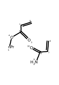 C=CC(=O)OCCC.C=CC(N)=O